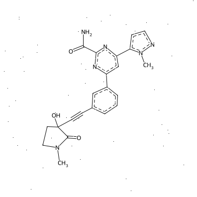 CN1CCC(O)(C#Cc2cccc(-c3cc(-c4ccnn4C)nc(C(N)=O)n3)c2)C1=O